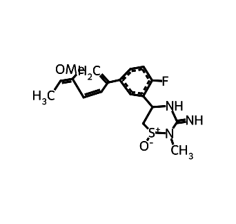 C=C(/C=C\C(=C/C)OC)c1ccc(F)c(C2C[S+]([O-])N(C)C(=N)N2)c1